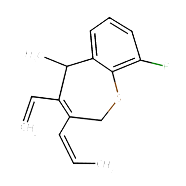 C=CC1=C(/C=C\C)CSc2c(F)cccc2C1C